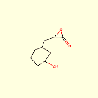 O=C1OC1CC1CCCC(O)C1